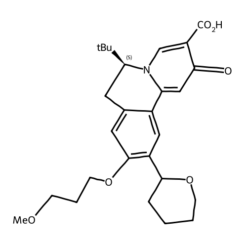 COCCCOc1cc2c(cc1C1CCCCO1)-c1cc(=O)c(C(=O)O)cn1[C@H](C(C)(C)C)C2